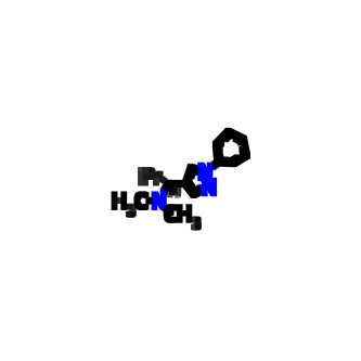 CC(C)[C@H](c1cnn(-c2ccccc2)c1)N(C)C